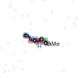 COc1ccc(Oc2ccccc2NS(=O)(=O)c2ccc(C(=O)NCCN3CCCCC3)cc2)c(Cl)c1